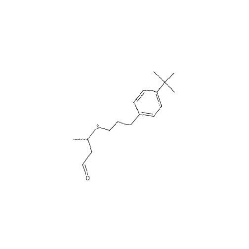 CC(CC=O)SCCCc1ccc(C(C)(C)C)cc1